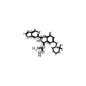 Cc1cc(CN2CCCCC2(C)C)cc2c(=O)[nH]c(-c3cc4sccc4cn3)nc12.Cl.NC=O